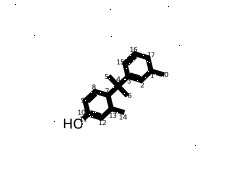 CC1C=C(C(C)(C)C2C=CC(O)=CC2C)C=CC1